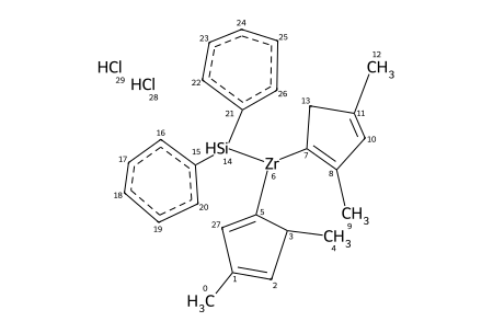 CC1=CC(C)[C]([Zr]([C]2=C(C)C=C(C)C2)[SiH](c2ccccc2)c2ccccc2)=C1.Cl.Cl